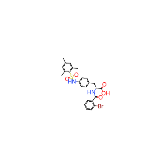 Cc1cc(C)c(S(=O)(=O)Nc2ccc(C[C@H](NC(=O)c3ccccc3Br)C(=O)O)cc2)c(C)c1